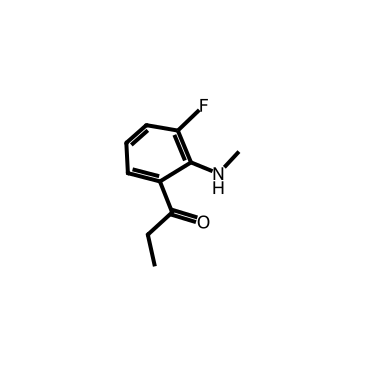 CCC(=O)c1cccc(F)c1NC